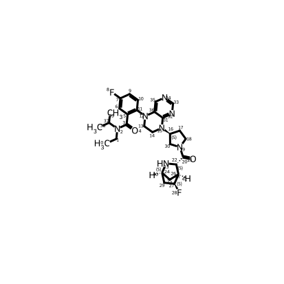 CCN(C(=O)c1cc(F)ccc1N1CCN([C@H]2CCN(C(=O)[C@H]3N[C@H]4C[C@@H]3[C@@H](F)C4)C2)c2ncncc21)C(C)C